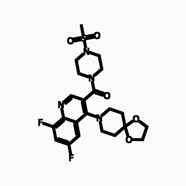 CS(=O)(=O)N1CCN(C(=O)c2cnc3c(F)cc(F)cc3c2N2CCC3(CC2)OCCO3)CC1